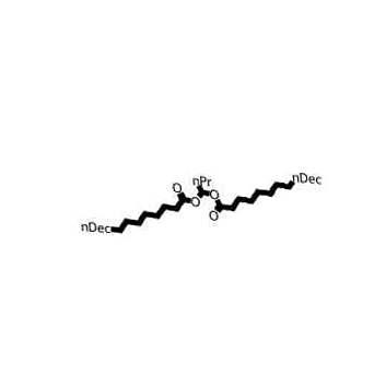 CCCCCCCCCCCCCCCCCC(=O)OC(CCC)OC(=O)CCCCCCCCCCCCCCCCC